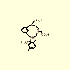 Cc1ccc(C[C@H]2CN(CC(=O)O)CCN(CC(=O)O)Cc3cccc(c3)CN2CC(=O)O)cc1